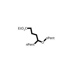 CCCCCOC(CCCCC)CCCC(=O)OCC